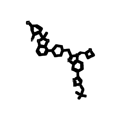 CC1(c2ccc(Cl)cc2F)Oc2cccc(C3CCN(Cc4nc5cc(-c6cn(C[Si](C)(C)C)nn6)ccc5n4C[C@@H]4CCO4)CC3)c2O1